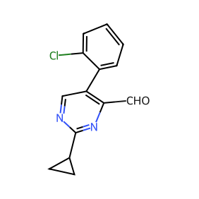 O=Cc1nc(C2CC2)ncc1-c1ccccc1Cl